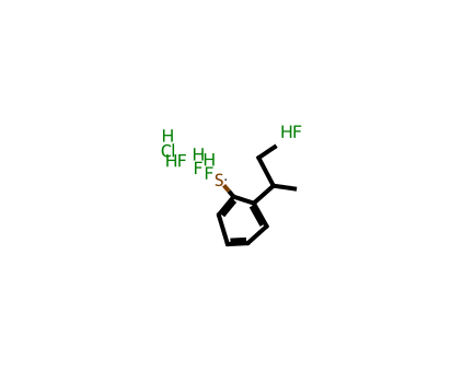 CCC(C)c1ccccc1[S].Cl.F.F.F.F